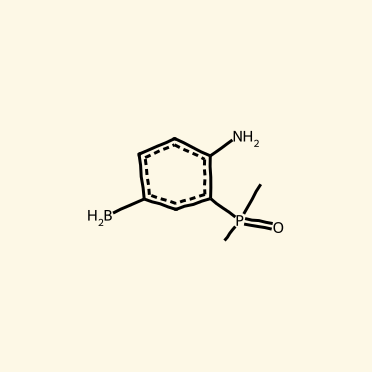 Bc1ccc(N)c(P(C)(C)=O)c1